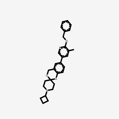 Cc1cc(-c2ccc3c(c2)COC2(CCN(C4CCC4)CC2)O3)cnc1OCc1ccccc1